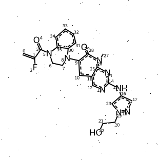 C=C(F)C(=O)N1CCN(c2cc3cnc(Nc4cnn(CCO)c4)nc3n(C)c2=O)c2ccccc21